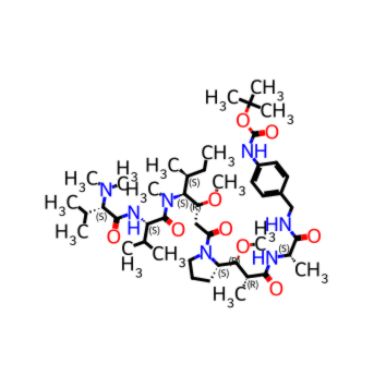 CC[C@H](C)[C@@H]([C@@H](CC(=O)N1CCC[C@H]1[C@H](OC)[C@@H](C)C(=O)N[C@@H](C)C(=O)NCc1ccc(NC(=O)OC(C)(C)C)cc1)OC)N(C)C(=O)[C@@H](NC(=O)[C@H](C(C)C)N(C)C)C(C)C